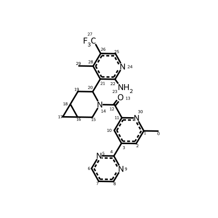 Cc1cc(-c2ncccn2)cc(C(=O)N2CC3CC3CC2c2c(N)ncc(C(F)(F)F)c2C)n1